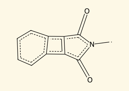 [CH2]n1c(=O)c2c3ccccc3c=2c1=O